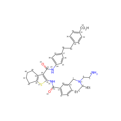 CCC(CC)N(CCN)Cc1cccc(C(=O)Nc2sc3c(c2C(=O)Nc2ccc(CCc4ccc(C(=O)O)cc4)cc2)CCCC3)c1